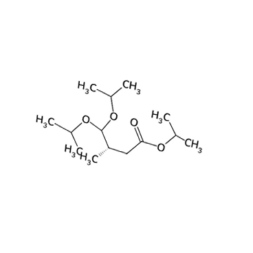 CC(C)OC(=O)C[C@H](C)C(OC(C)C)OC(C)C